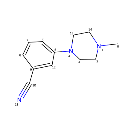 CN1CCN(c2cccc(C#N)c2)CC1